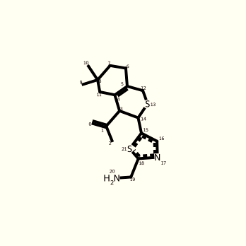 C=C(C)C1C2=C(CCC(C)(C)C2)CSC1c1cnc(CN)s1